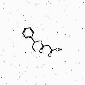 CCC(OC(=O)CC(=O)O)c1ccccc1